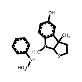 CN1c2ccc(O)cc2C2(C)CCSC12.O=C(O)Nc1ccccc1